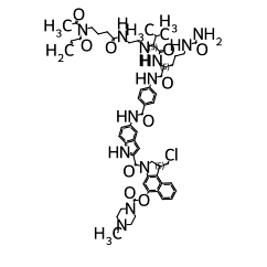 C=CC(=O)N(CCCC(=O)NCCN[C@H](C(=O)N[C@@H](CCCNC(N)=O)C(=O)Nc1ccc(C(=O)Nc2ccc3[nH]c(C(=O)N4C[C@@H](CCl)c5c4cc(OC(=O)N4CCN(C)CC4)c4ccccc54)cc3c2)cc1)C(C)C)C(C)=O